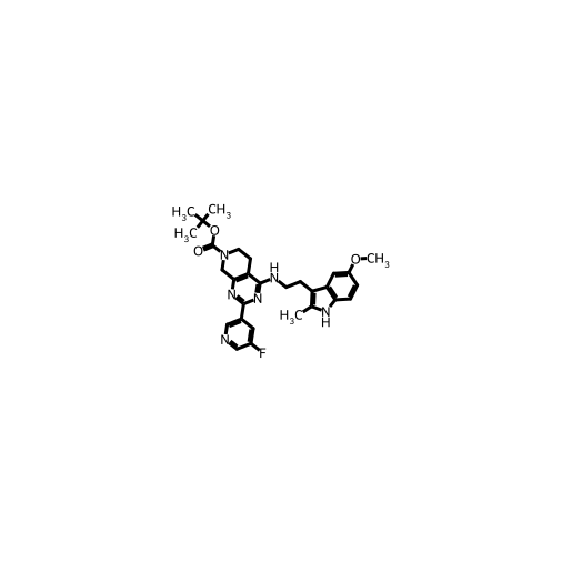 COc1ccc2[nH]c(C)c(CCNc3nc(-c4cncc(F)c4)nc4c3CCN(C(=O)OC(C)(C)C)C4)c2c1